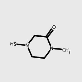 CN1CCN(S)CC1=O